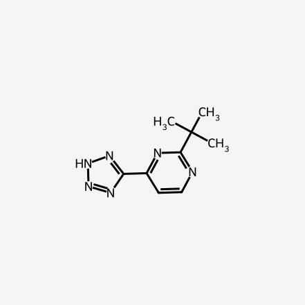 CC(C)(C)c1nccc(-c2nn[nH]n2)n1